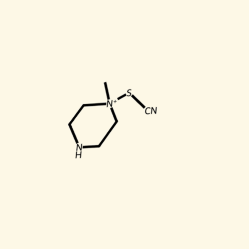 C[N+]1(SC#N)CCNCC1